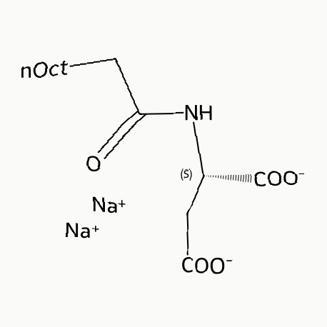 CCCCCCCCCC(=O)N[C@@H](CC(=O)[O-])C(=O)[O-].[Na+].[Na+]